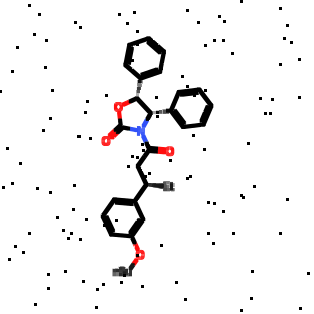 CCCCOc1cccc([C@H](CC)CC(=O)N2C(=O)O[C@H](c3ccccc3)[C@@H]2c2ccccc2)c1